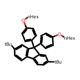 CCCCCCOc1ccc(C2(c3ccc(OCCCCCC)cc3)c3cc(C(C)(C)C)ccc3-c3ccc(C(C)(C)C)cc32)cc1